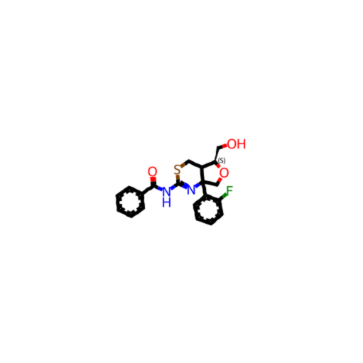 O=C(NC1=NC2(c3ccccc3F)CO[C@H](CO)C2CS1)c1ccccc1